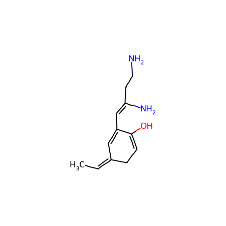 CC=C1C=C(C=C(N)CCN)C(O)=CC1